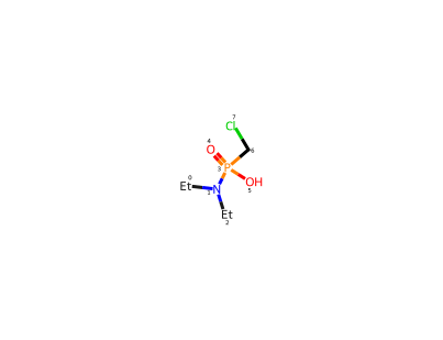 CCN(CC)P(=O)(O)CCl